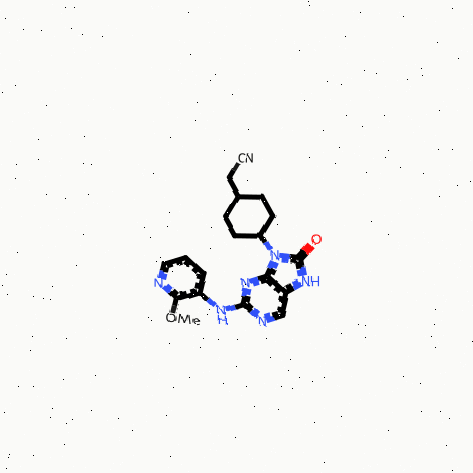 COc1ncccc1Nc1ncc2[nH]c(=O)n(C3CCC(CC#N)CC3)c2n1